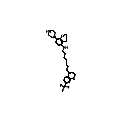 FC(F)(F)c1ccc2c(SCCCCCCNc3ccc(N4CCNCC4)c4c3CCCO4)ccnc2c1